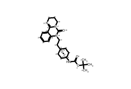 CC(C)(C)OC(=O)NC12CCC(CCN3C(=O)N4CCCN=C4c4ccccc43)(CC1)OC2